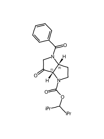 CC(C)C(OC(=O)N1CC[C@@H]2[C@H]1C(=O)CN2C(=O)c1ccccc1)C(C)C